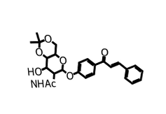 CC(=O)NC1C(Oc2ccc(C(=O)/C=C/c3ccccc3)cc2)OC2COC(C)(C)OC2C1O